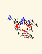 CC[C@H]1OC(=O)[C@H](C)[C@@H](O[C@H]2C[C@@](C)(OC)[C@@H](O)[C@H](C)O2)[C@H](C)[C@@H](O[C@@H]2O[C@H](C)C[C@H](N(C)CCc3cn(CCCC(F)(F)c4ccc(-c5cncnc5)cc4)nn3)[C@H]2O)[C@](C)(O)C[C@@H](C)CN(C)[C@H](C)[C@@H](O)[C@]1(C)O